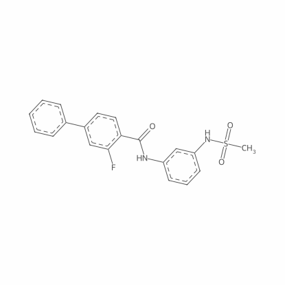 CS(=O)(=O)Nc1cccc(NC(=O)c2ccc(-c3ccccc3)cc2F)c1